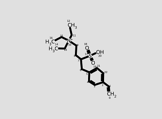 C=Cc1ccc(CC(CC[N+](CC)(CC)CC)S(=O)(=O)O)cc1